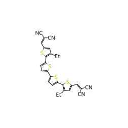 CCc1cc(C=C(C#N)C#N)sc1-c1ccc(-c2ccc(-c3sc(C=C(C#N)C#N)cc3CC)s2)s1